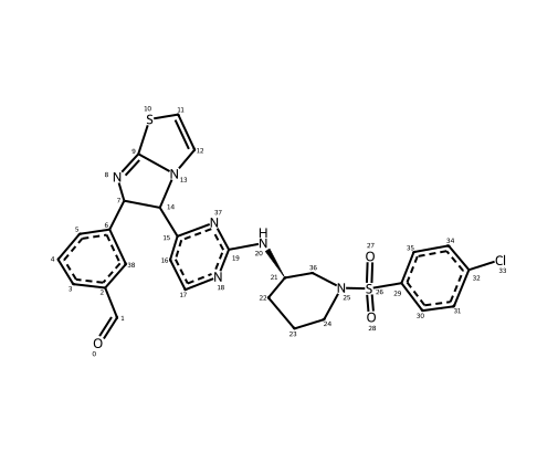 O=Cc1cccc(C2N=C3SC=CN3C2c2ccnc(N[C@@H]3CCCN(S(=O)(=O)c4ccc(Cl)cc4)C3)n2)c1